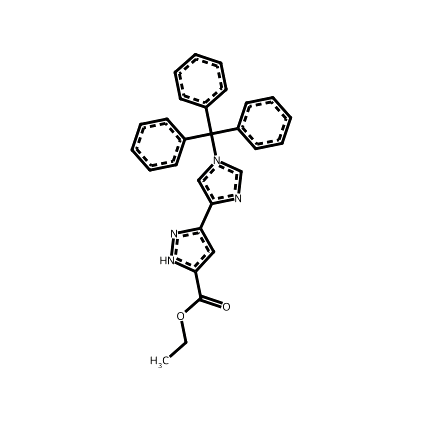 CCOC(=O)c1cc(-c2cn(C(c3ccccc3)(c3ccccc3)c3ccccc3)cn2)n[nH]1